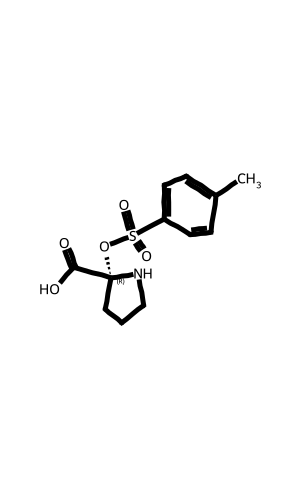 Cc1ccc(S(=O)(=O)O[C@@]2(C(=O)O)CCCN2)cc1